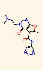 Cc1oc2ncn(CCN(C)C)c(=O)c2c1C(=O)Nc1cncnc1